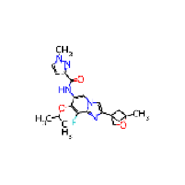 CC(C)Oc1c(NC(=O)c2ccn(C)n2)cn2cc(C34COC(C)(C3)C4)nc2c1F